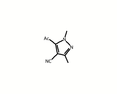 CC(=O)c1c(C#N)c(C)nn1C